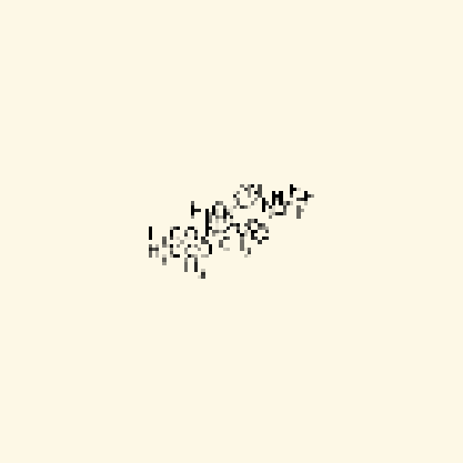 C[C@H](NC(=O)OC(C)(C)C)C(=O)N(C)c1ccnc(-n2nc(C(F)(F)F)cc2-c2ccco2)c1